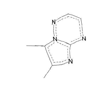 Cc1nc2nccnn2c1C